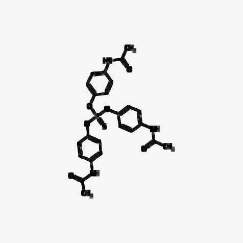 CC(=O)Nc1ccc(OP(=S)(Oc2ccc(NC(C)=O)cc2)Oc2ccc(NC(C)=O)cc2)cc1